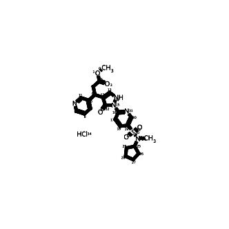 COC(=O)CC(c1cccnc1)c1c[nH]n(-c2ccc(S(=O)(=O)N(C)C3CCCC3)cn2)c1=O.Cl